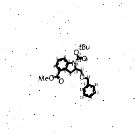 COC(=O)c1cccc2c1CC(COCc1ccccc1)N2C(=O)OC(C)(C)C